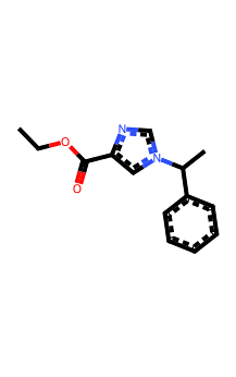 CCOC(=O)c1cn(C(C)c2ccccc2)cn1